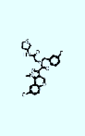 Cn1nc(C(=O)N(CC(=O)NC2CCSC2)Cc2cccc(F)c2)c2c1-c1cc(Cl)ccc1OC2